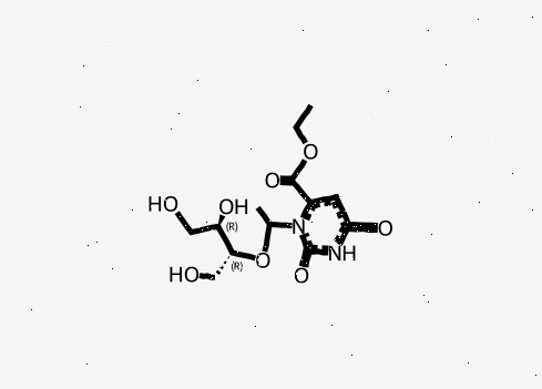 CCOC(=O)c1cc(=O)[nH]c(=O)n1C(C)O[C@H](CO)[C@H](O)CO